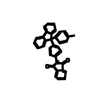 Cc1ccc(C2(c3ccc(N4C(=O)c5ccccc5C4=O)cc3)c3ccccc3-c3ccccc32)cc1